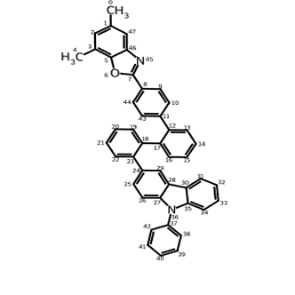 Cc1cc(C)c2oc(-c3ccc(-c4ccccc4-c4ccccc4-c4ccc5c(c4)c4ccccc4n5-c4ccccc4)cc3)nc2c1